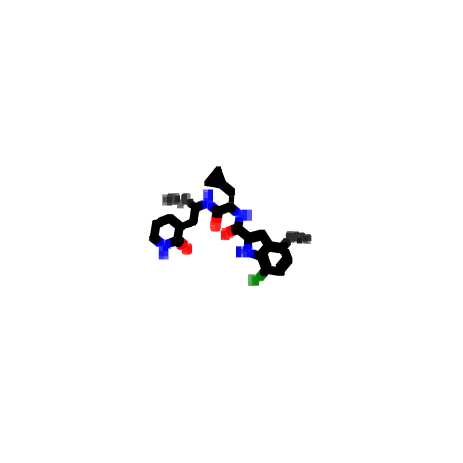 COc1ccc(Br)c2[nH]c(C(=O)N[C@@H](CC3CC3)C(=O)N[C@@H](C[C@@H]3CCCNC3=O)C(=O)O)cc12